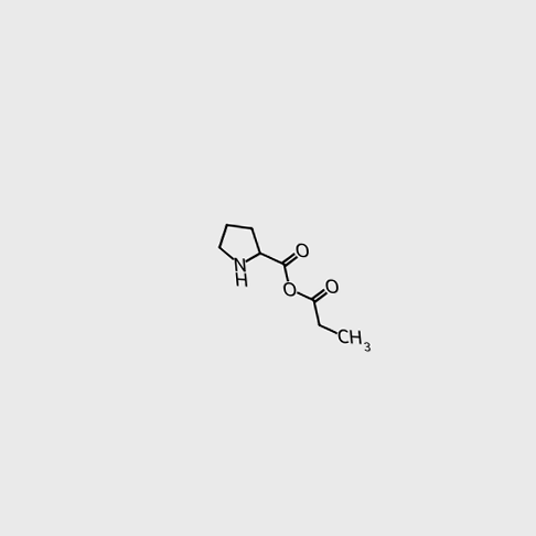 CCC(=O)OC(=O)C1CCCN1